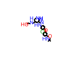 CC(C)(C)NC(=O)c1cccc(Oc2ccc(Nc3ncnc4c3C=C(CNCCO)CCN4)cc2Cl)c1